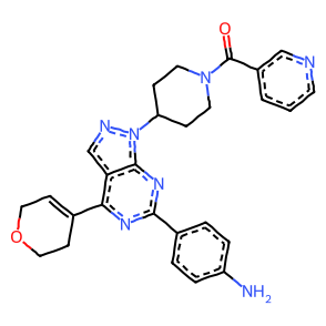 Nc1ccc(-c2nc(C3=CCOCC3)c3cnn(C4CCN(C(=O)c5cccnc5)CC4)c3n2)cc1